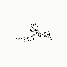 C=CCOP(=O)(CC=C(C)C(=O)O)OCC=C